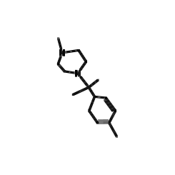 CC1=CCC(C(C)(C)N2CCN(C)CC2)C=C1